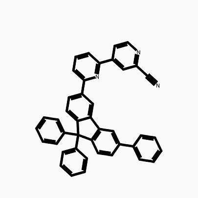 N#Cc1cc(-c2cccc(-c3ccc4c(c3)-c3cc(-c5ccccc5)ccc3C4(c3ccccc3)c3ccccc3)n2)ccn1